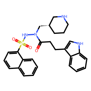 O=C(CCc1c[nH]c2ccccc12)N(C[C@H]1CCCNC1)NS(=O)(=O)c1cccc2ccccc12